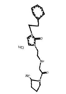 Cl.N#CC1CCCN1C(=O)CNCCn1ccn(CCc2ccccc2)c1=O